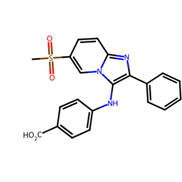 CS(=O)(=O)c1ccc2nc(-c3ccccc3)c(Nc3ccc(C(=O)O)cc3)n2c1